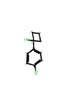 FC1(c2ccc(Cl)cc2)CCC1